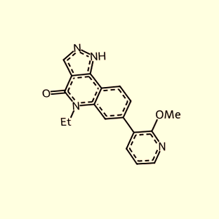 CCn1c(=O)c2cn[nH]c2c2ccc(-c3cccnc3OC)cc21